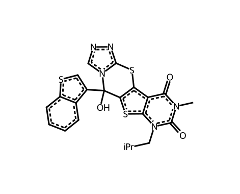 CC(C)Cn1c(=O)n(C)c(=O)c2c3c(sc21)C(O)(c1csc2ccccc12)n1cnnc1S3